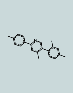 Cc1ccc(-c2cc(C)c(-c3ccc(C)cc3C)cn2)cc1